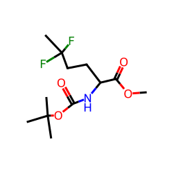 COC(=O)C(CCC(C)(F)F)NC(=O)OC(C)(C)C